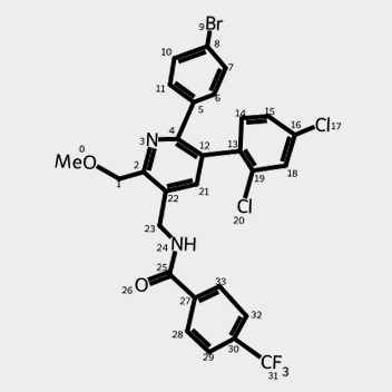 COCc1nc(-c2ccc(Br)cc2)c(-c2ccc(Cl)cc2Cl)cc1CNC(=O)c1ccc(C(F)(F)F)cc1